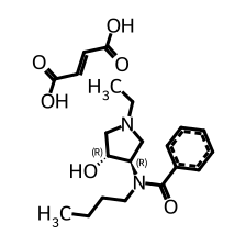 CCCCN(C(=O)c1ccccc1)[C@@H]1CN(CC)C[C@H]1O.O=C(O)C=CC(=O)O